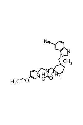 CCOc1ccc(CN(CC2(C)CCC[C@](C)(Cn3cnc4ccc(C#N)cc43)C2)C(=O)O)nc1